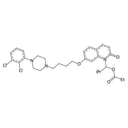 CCC(=O)OC(C(C)C)n1c(=O)ccc2ccc(OCCCCN3CCN(c4cccc(Cl)c4Cl)CC3)cc21